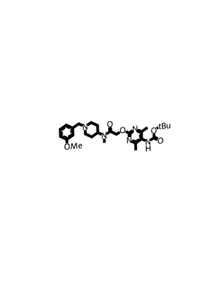 COc1cccc(CN2CCC(N(C)C(=O)COc3nc(C)c(NC(=O)OC(C)(C)C)c(C)n3)CC2)c1